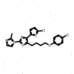 Cc1nccn1-c1nc(-c2ccc(Cl)s2)c(CCCCOc2ccc(Cl)cc2)o1